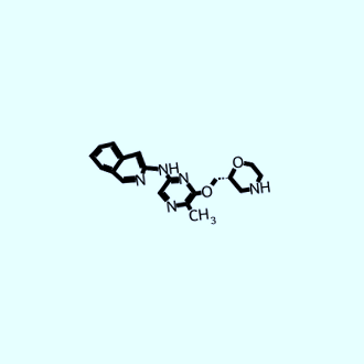 Cc1ncc(Nc2cc3ccccc3cn2)nc1OC[C@H]1CNCCO1